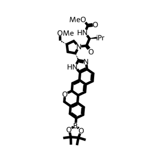 COC[C@H]1C[C@@H](c2nc3ccc4c(c3[nH]2)=CC2OCc3cc(B5OC(C)(C)C(C)(C)O5)ccc3C2C=4)N(C(=O)[C@@H](NC(=O)OC)C(C)C)C1